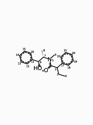 CCC(C(=O)N(C)[C@@H](C)[C@@H](O)c1ccccc1)c1ccccc1